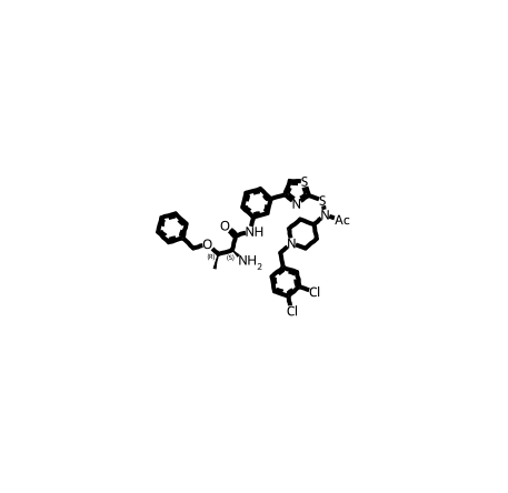 CC(=O)N(Sc1nc(-c2cccc(NC(=O)[C@@H](N)[C@@H](C)OCc3ccccc3)c2)cs1)C1CCN(Cc2ccc(Cl)c(Cl)c2)CC1